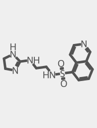 O=S(=O)(NCCNC1=NCCN1)c1cccc2cnccc12